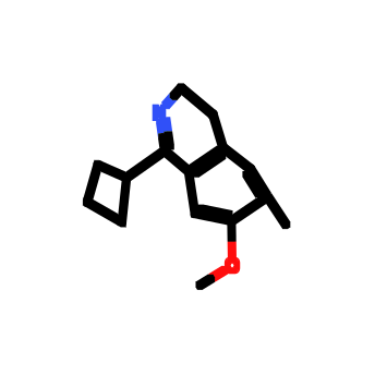 COc1cc2c(cc1C)CCN=C2C1CCC1